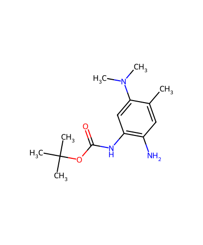 Cc1cc(N)c(NC(=O)OC(C)(C)C)cc1N(C)C